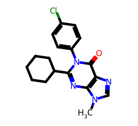 Cn1cnc2c(=O)n(-c3ccc(Cl)cc3)c(C3CCCCC3)nc21